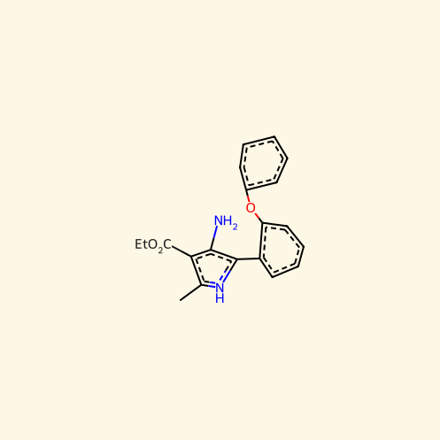 CCOC(=O)c1c(C)[nH]c(-c2ccccc2Oc2ccccc2)c1N